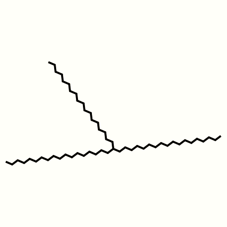 CCCCCCCCCCCCCCCCCCC(CCCCCCCCCCCCCCCCCC)CCCCCCCCCCCCCCCCCC